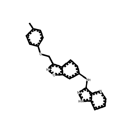 Cc1ccc(OCc2noc3cc(Nc4n[nH]c5cccnc45)ccc23)cc1